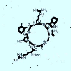 C=C(N)[C@@H]1CCCNC(=O)CC[C@H](NC(=O)[C@H](CCCNC(=N)N)NC(C)=O)C(=O)N2C[C@H](O)C[C@H]2C(=O)N[C@H](Cc2ccccc2F)C(=O)N[C@@H](CCCNC(=N)N)C(=O)N[C@@H](Cc2c[nH]c3ccccc23)C(=O)N1